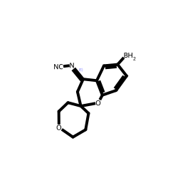 Bc1ccc2c(c1)/C(=N/C#N)CC1(CCCOCC1)O2